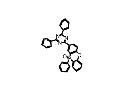 O=P1(c2ccccc2)c2ccccc2Oc2ccc(-c3nc(C4=CC=C=C=C4)nc(-c4ccccc4)n3)cc21